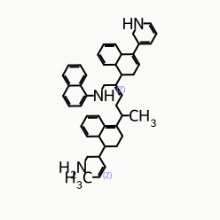 C/C=C\C(CN)C1CCC(C(C)C/C=C(\CNc2cccc3ccccc23)C2CC=C(C3=CC=CNC3)C3C=CC=CC32)=C2C=CC=CC21